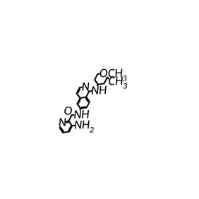 CC1(C)CC(Nc2nccc3cc(NC(=O)c4ncccc4N)ccc23)CCO1